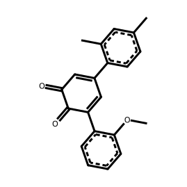 COc1ccccc1C1=CC(c2ccc(C)cc2C)=CC(=O)C1=O